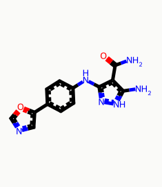 NC(=O)c1c(Nc2ccc(-c3cnco3)cc2)n[nH]c1N